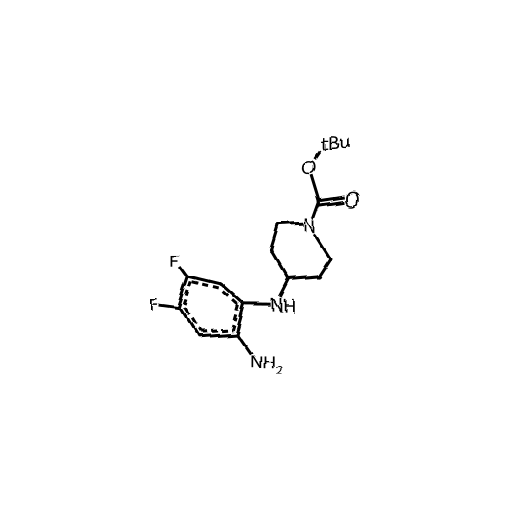 CC(C)(C)OC(=O)N1CCC(Nc2cc(F)c(F)cc2N)CC1